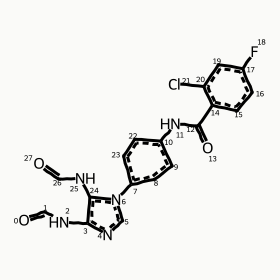 O=CNc1ncn(-c2ccc(NC(=O)c3ccc(F)cc3Cl)cc2)c1NC=O